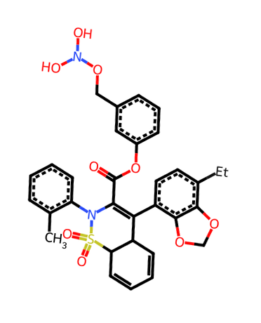 CCc1ccc(C2=C(C(=O)Oc3cccc(CON(O)O)c3)N(c3ccccc3C)S(=O)(=O)C3C=CC=CC23)c2c1OCO2